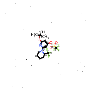 CC(C)(C)Oc1cc(OS(=O)(=O)C(F)(F)F)cc(N2CCCCC2C(F)(F)F)n1